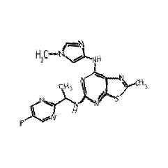 Cc1nc2c(Nc3cn(C)cn3)nc(NC(C)c3ncc(F)cn3)nc2s1